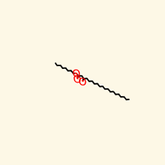 CCCCCCCCCCCCCCCCCC(=O)CC(=O)OCCCCCCCC